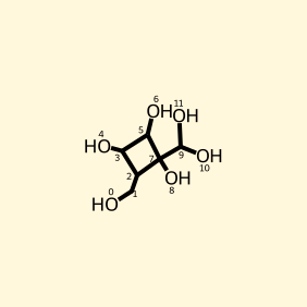 OCC1C(O)C(O)C1(O)C(O)O